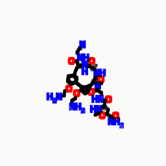 CC(=O)N[C@@H](CCC(N)=O)C(=O)NCC(=O)N(C)[C@@H]1C(=O)N[C@@H](C)C(=O)N[C@H](C(=O)NCC#N)Cc2ccc(OCCN)c(c2)-c2cc1ccc2OCCN